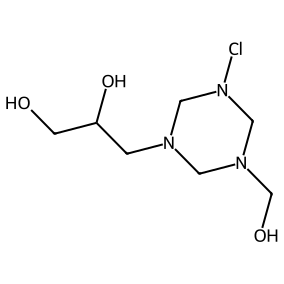 OCC(O)CN1CN(Cl)CN(CO)C1